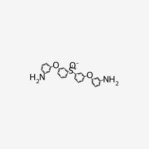 Nc1cccc(Oc2cccc([S+]([O-])c3cccc(Oc4cccc(N)c4)c3)c2)c1